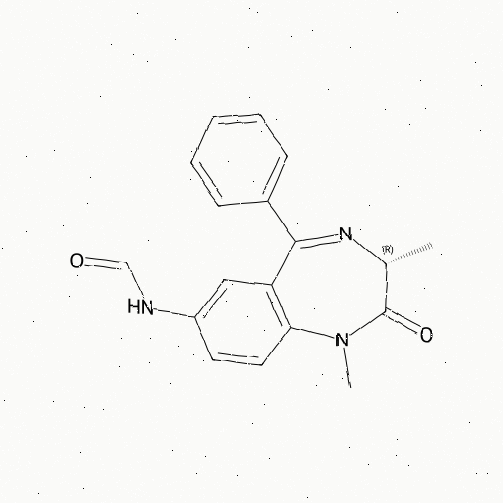 C[C@H]1N=C(c2ccccc2)c2cc(NC=O)ccc2N(C)C1=O